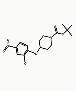 CC(C)(C)OC(=O)N1CCC(Oc2ccc([N+](=O)[O-])cc2Cl)CC1